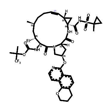 CC[C@@H]1C[C@@H](C)CC/C=C\[C@@H]2C[C@@]2(C(=O)NS(=O)(=O)C2(C)CC2)NC(=O)[C@@H]2C[C@@H](Oc3nccc4c5c(ccc34)CCCO5)CN2C(=O)[C@H]1NC(=O)OC(C)(C)C(F)(F)F